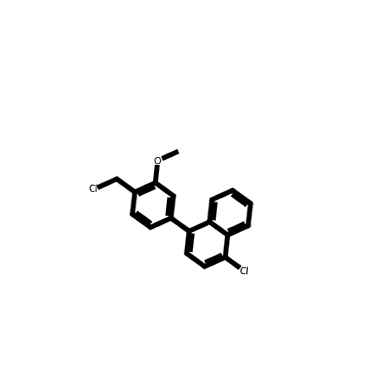 COc1cc(-c2ccc(Cl)c3ccccc23)ccc1CCl